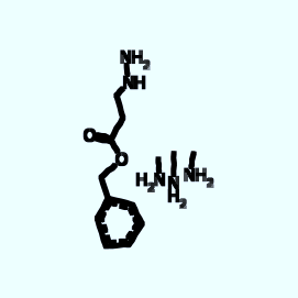 CN.CN.CN.NNCCC(=O)OCc1ccccc1